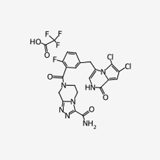 NC(=O)c1nnc2n1CCN(C(=O)c1cc(Cc3c[nH]c(=O)c4cc(Cl)c(Cl)n34)ccc1F)C2.O=C(O)C(F)(F)F